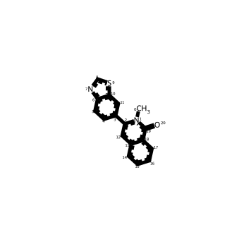 Cn1c(-c2ccc3ncsc3c2)cc2ccccc2c1=O